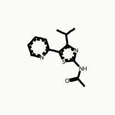 CC(=O)Nc1nc(C(C)C)c(-c2ccccn2)s1